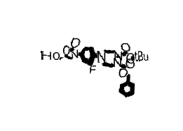 CC(C)(C)OC(=O)N1CCN(c2ccc(N3C[C@H](CO)OC3=O)cc2F)CCN1C(=O)OCc1ccccc1